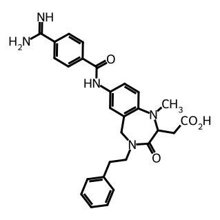 CN1c2ccc(NC(=O)c3ccc(C(=N)N)cc3)cc2CN(CCc2ccccc2)C(=O)C1CC(=O)O